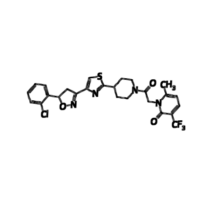 Cc1ccc(C(F)(F)F)c(=O)n1CC(=O)N1CCC(c2nc(C3=NOC(c4ccccc4Cl)C3)cs2)CC1